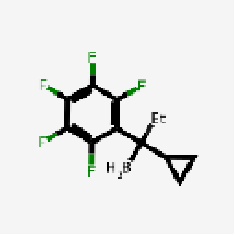 BC(CC)(c1c(F)c(F)c(F)c(F)c1F)C1CC1